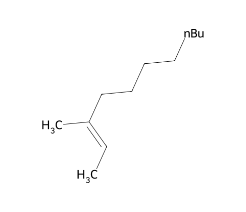 CC=C(C)CCCCCCCC